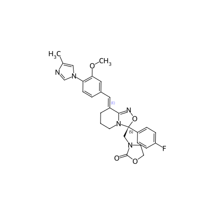 COc1cc(/C=C2\CCCN3C2=NO[C@]3(CN2CCOC2=O)c2ccc(F)cc2)ccc1-n1cnc(C)c1